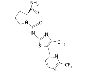 Cc1nc(NC(=O)N2CCC[C@H]2C(N)=O)sc1-c1ccnc(C(F)(F)F)n1